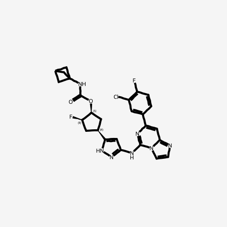 O=C(NC12CC(C1)C2)O[C@H]1C[C@@H](c2cc(Nc3nc(-c4ccc(F)c(Cl)c4)cc4nccn34)n[nH]2)C[C@H]1F